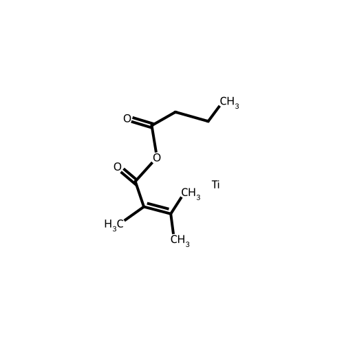 CCCC(=O)OC(=O)C(C)=C(C)C.[Ti]